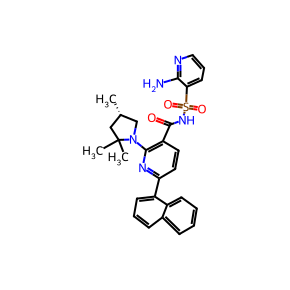 C[C@@H]1CN(c2nc(-c3cccc4ccccc34)ccc2C(=O)NS(=O)(=O)c2cccnc2N)C(C)(C)C1